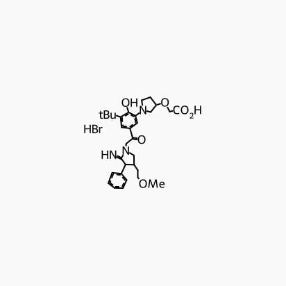 Br.COCCC1CN(CC(=O)c2cc(N3CCC(OCC(=O)O)C3)c(O)c(C(C)(C)C)c2)C(=N)C1c1ccccc1